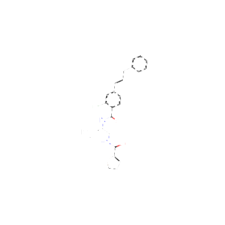 O=C(NC[C@H](NC(=O)c1ccc(/C=C/Cc2ccccc2)cc1Cl)C(=O)O)C1=CCCS1